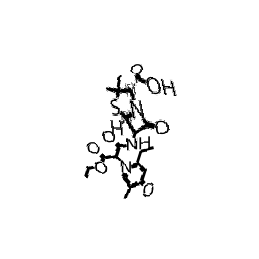 CCOC(=O)C(C(=O)NC1C(=O)N2[C@@H]1SC(C)(C)[C@@H]2C(=O)O)n1cc(C)c(=O)cc1CC